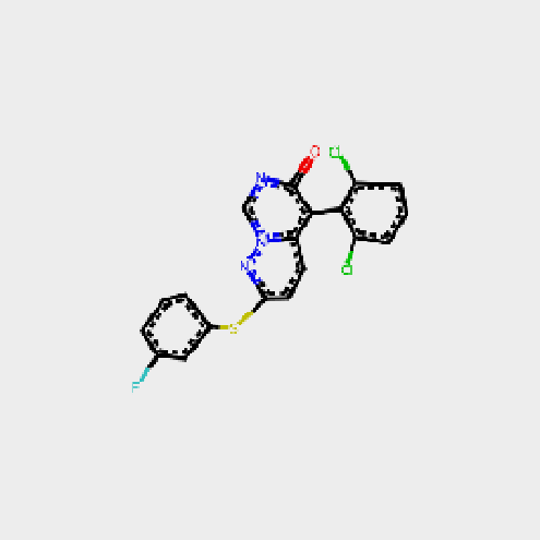 O=c1ncn2nc(Sc3cccc(F)c3)ccc2c1-c1c(Cl)cccc1Cl